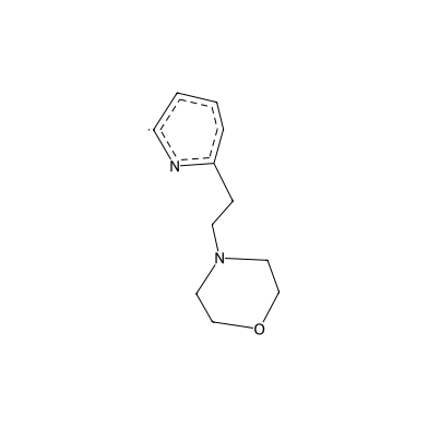 [c]1cccc(CCN2CCOCC2)n1